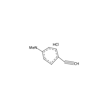 C#Cc1ccc(NC)cc1.Cl